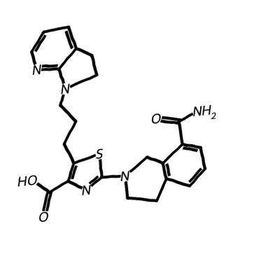 NC(=O)c1cccc2c1CN(c1nc(C(=O)O)c(CCCN3CCc4cccnc43)s1)CC2